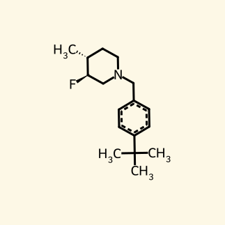 C[C@@H]1CCN(Cc2ccc(C(C)(C)C)cc2)C[C@H]1F